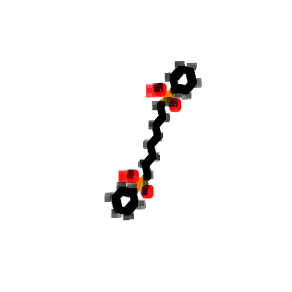 O=P(O)(CCCCCCCCP(=O)(O)c1ccccc1)c1ccccc1